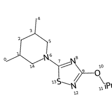 CC1CC(C)CN(c2nc(OC(C)C)ns2)C1